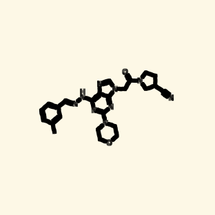 Cc1cccc(/C=N/Nc2nc(N3CCOCC3)nc3c2ncn3CC(=O)N2CCC(C#N)C2)c1